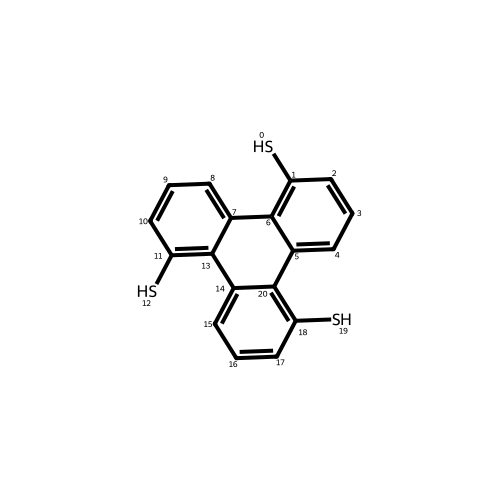 Sc1cccc2c1c1cccc(S)c1c1cccc(S)c21